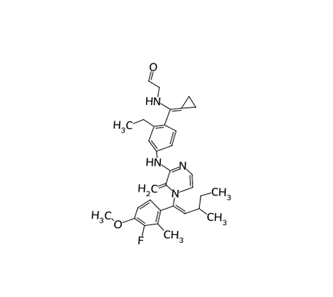 C=C1C(Nc2ccc(C(NCC=O)=C3CC3)c(CC)c2)=NC=CN1/C(=C\C(C)CC)c1ccc(OC)c(F)c1C